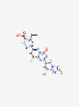 CC[C@H]1CN(c2cc(F)c3nc(-c4cc(F)c5nc(C)cn5c4)nc(=O)n3c2)CCN1C(=O)O